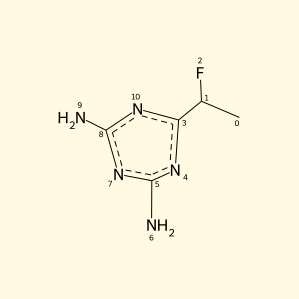 CC(F)c1nc(N)nc(N)n1